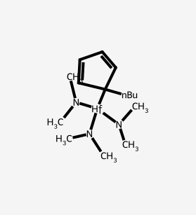 CCCC[C]1([Hf]([N](C)C)([N](C)C)[N](C)C)C=CC=C1